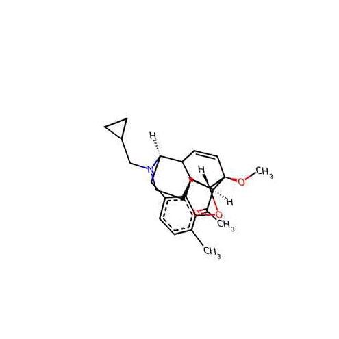 CO[C@]12C=C[C@@]3(C[C@@H]1C(C)=O)[C@H]1Cc4ccc(C)c5c4[C@@]3(CCN1CC1CC1)[C@H]2O5